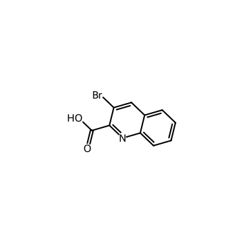 O=C(O)c1nc2ccccc2cc1Br